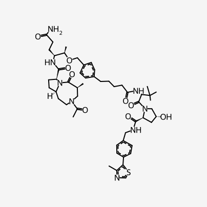 CC(=O)N1CC[C@H]2CC[C@@H](C(=O)N[C@@H](CCC(N)=O)[C@@H](C)OCc3ccc(CCCCC(=O)N[C@H](C(=O)N4C[C@H](O)C[C@H]4C(=O)NCc4ccc(-c5scnc5C)cc4)C(C)(C)C)cc3)N2C(=O)[C@@H](C)C1